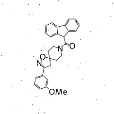 COc1cccc(C2=NOC3(CCN(C(=O)C4c5ccccc5-c5ccccc54)CC3)C2)c1